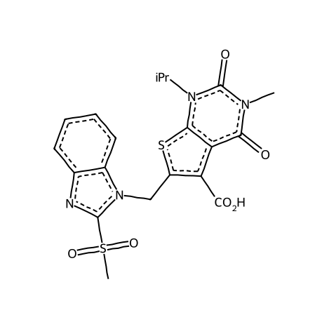 CC(C)n1c(=O)n(C)c(=O)c2c(C(=O)O)c(Cn3c(S(C)(=O)=O)nc4ccccc43)sc21